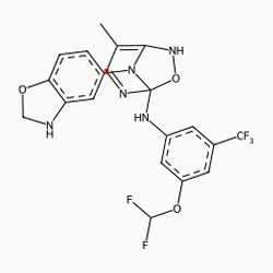 CC1=C2NOC(Nc3cc(OC(F)F)cc(C(F)(F)F)c3)(N=C1)N2c1ccc2c(c1)NCO2